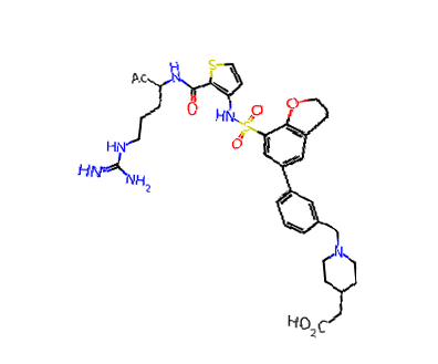 CC(=O)C(CCCNC(=N)N)NC(=O)c1sccc1NS(=O)(=O)c1cc(-c2cccc(CN3CCC(CC(=O)O)CC3)c2)cc2c1OCC2